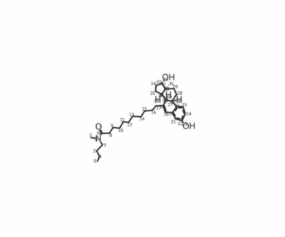 CCCCN(C)C(=O)CCCCCCCCCCC1=Cc2cc(O)ccc2[C@H]2CC[C@]3(C)[C@@H](O)CC[C@H]3[C@H]12